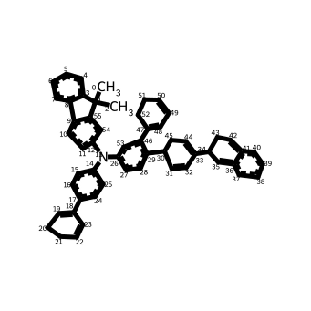 CC1(C)c2ccccc2-c2ccc(N(c3ccc(C4=CCCC=C4)cc3)c3ccc(C4C=CC(C5C=c6ccccc6=CC5)=CC4)c(C4=CC=CCC4)c3)cc21